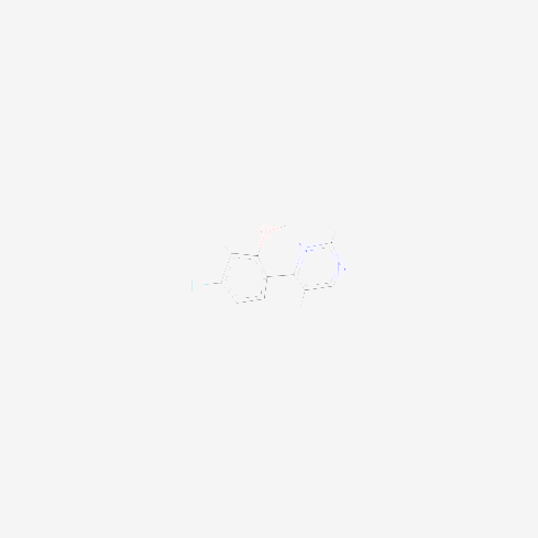 COc1c(-c2nc(Cl)ncc2F)ccc(F)c1F